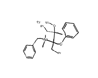 CCOC(C)(CC(C)C)C(CC(C)C)(Oc1ccccc1)[N+](C)(C)Cc1ccccc1.[Cl-]